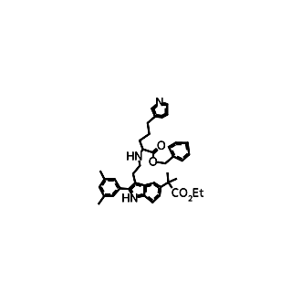 CCOC(=O)C(C)(C)c1ccc2[nH]c(-c3cc(C)cc(C)c3)c(CCNC(CCCc3cccnc3)C(=O)OCc3ccccc3)c2c1